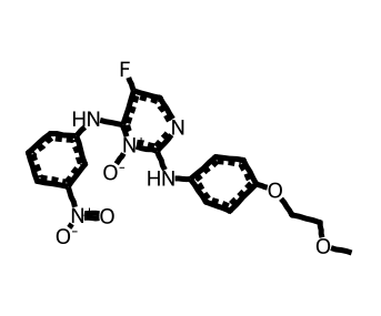 COCCOc1ccc(Nc2ncc(F)c(Nc3cccc([N+](=O)[O-])c3)[n+]2[O-])cc1